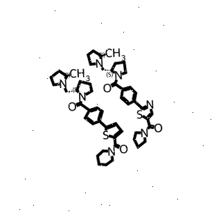 C[C@@H]1CCCN1C[C@@H]1CCCN1C(=O)c1ccc(-c2ccc(C(=O)N3CCCCC3)s2)cc1.C[C@@H]1CCCN1C[C@@H]1CCCN1C(=O)c1ccc(-c2ncc(C(=O)N3CCCC3)s2)cc1